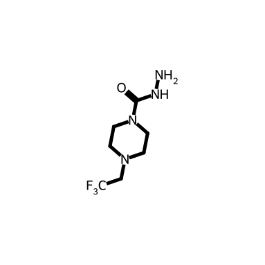 NNC(=O)N1CCN(CC(F)(F)F)CC1